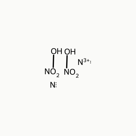 O=[N+]([O-])O.O=[N+]([O-])O.[N+3].[N]